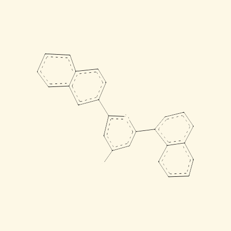 Cc1cc(-c2ccc3ccccc3c2)nc(-c2cccc3ccccc23)c1